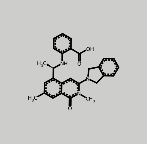 Cc1cc([C@@H](C)Nc2ccccc2C(=O)O)c2cc(N3Cc4ccccc4C3)n(C)c(=O)c2c1